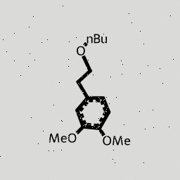 CCCCOCCc1ccc(OC)c(OC)c1